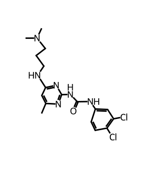 Cc1cc(NCCCN(C)C)nc(NC(=O)Nc2ccc(Cl)c(Cl)c2)n1